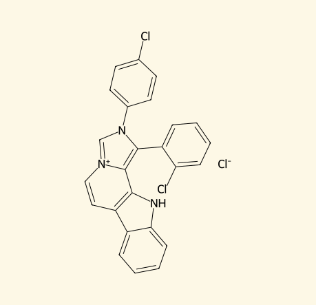 Clc1ccc(-n2c[n+]3ccc4c5ccccc5[nH]c4c3c2-c2ccccc2Cl)cc1.[Cl-]